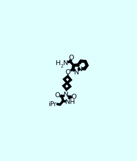 CC(C)CC1NC(=O)N([C@H]2CC3(C[C@H](Oc4nn5ccccc5c4C(N)=O)C3)C2)C1=O